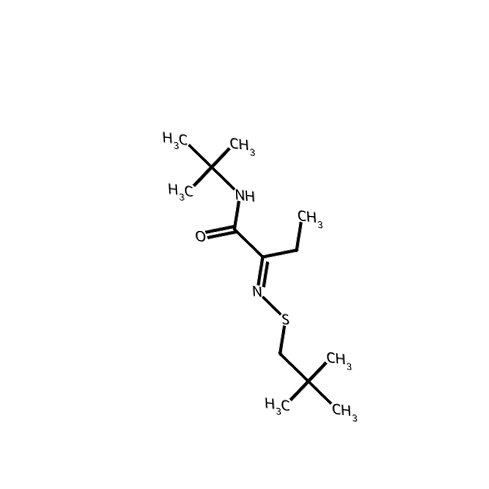 CC/C(=N\SCC(C)(C)C)C(=O)NC(C)(C)C